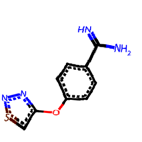 N=C(N)c1ccc(Oc2csnn2)cc1